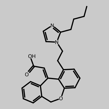 CCCCc1nccn1CCc1cccc2c1C(=CC(=O)O)c1ccccc1CO2